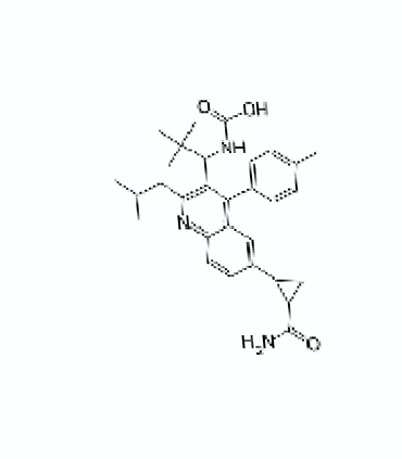 Cc1ccc(-c2c(C(NC(=O)O)C(C)(C)C)c(CC(C)C)nc3ccc(C4CC4C(N)=O)cc23)cc1